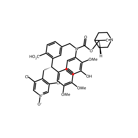 COc1ccc([C@H](Cc2c(Cl)c[n+]([O-])cc2Cl)c2cc(CN(C(=O)O[C@H]3CN4CCC3CC4)c3cccc(O)c3OC)ccc2C(=O)O)cc1OC